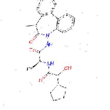 CC1C(=O)N(NC(=O)[C@@H](NC(=O)C(O)C2CCCC2)C(C)C)c2ccccc2-c2ccccc21